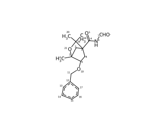 CC12CC(C(=O)N[C]=O)(CC1OCc1ccccc1)C(C)(C)O2